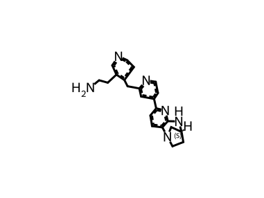 NCCc1cnccc1Cc1cc(-c2ccc3c(n2)N[C@H]2CCN3C2)ccn1